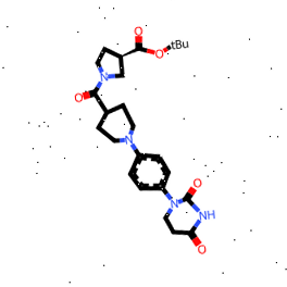 CC(C)(C)OC(=O)[C@@H]1CCN(C(=O)C2CCN(c3ccc(N4CCC(=O)NC4=O)cc3)CC2)C1